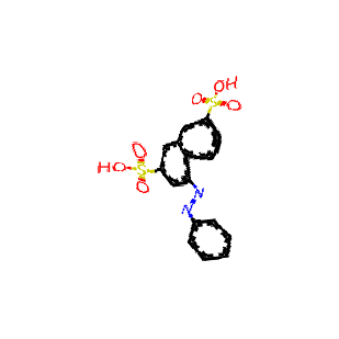 O=S(=O)(O)c1ccc2c(/N=N/c3ccccc3)cc(S(=O)(=O)O)cc2c1